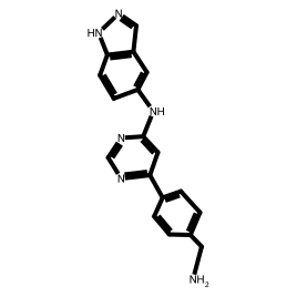 NCc1ccc(-c2cc(Nc3ccc4[nH]ncc4c3)ncn2)cc1